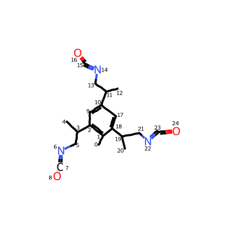 Cc1c(C(C)CN=C=O)cc(C(C)CN=C=O)cc1C(C)CN=C=O